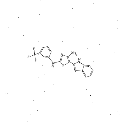 Nc1nc(Nc2cccc(C(F)(F)F)c2)sc1-c1nc2ccccc2[nH]1